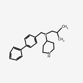 CC(C)CN(Cc1ccc(-c2ccccc2)cc1)C1CCNCC1